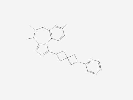 CC1c2nnc(C3CC4(C3)CN(c3cnccn3)C4)n2-c2ccc(Cl)cc2CN1C